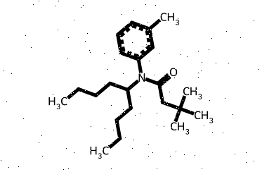 CCCCC(CCCC)N(C(=O)CC(C)(C)C)c1cccc(C)c1